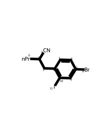 CCCC(C#N)Cc1ccc(Br)cc1I